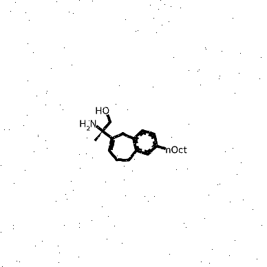 CCCCCCCCc1ccc2c(c1)CCC=C([C@](C)(N)CO)C2